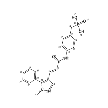 Cn1ncc(C=CC(=O)Nc2ccc(CP(=O)(O)O)cc2)c1-c1ccccc1